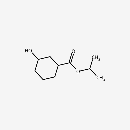 CC(C)OC(=O)C1CCCC(O)C1